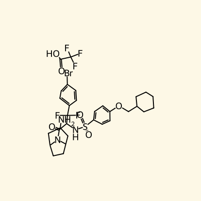 NC1CC2CCC(C1)N2C(=O)C(NS(=O)(=O)c1ccc(OCC2CCCCC2)cc1)C(F)(F)c1ccc(Br)cc1.O=C(O)C(F)(F)F